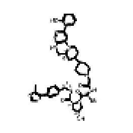 Cc1ncsc1-c1ccc([C@H](C)NC(=O)[C@@H]2C[C@@H](O)CN2C(=O)[C@@H](NC(=O)CN2CCC(C3CCN4c5cc(-c6ccccc6O)nnc5NC[C@@H]4C3)CC2)C(C)(C)C)cc1